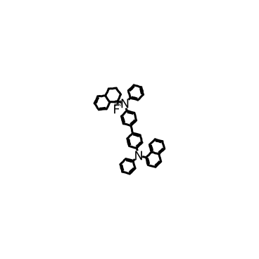 F[C@]1(N(c2ccccc2)c2ccc(-c3ccc(N(c4ccccc4)c4cccc5ccccc45)cc3)cc2)CCCC2C=CC=CC21